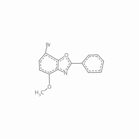 COc1ccc(Br)c2oc(-c3ccccc3)nc12